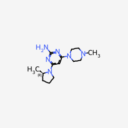 C[C@@H]1CCCN1c1cc(N2CCN(C)CC2)nc(N)n1